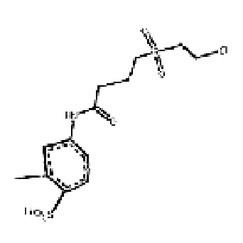 Cc1cc(NC(=O)CCCS(=O)(=O)CCCl)ccc1S(=O)(=O)O